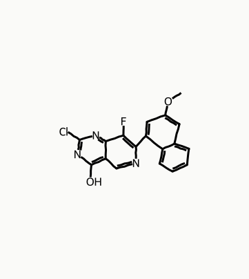 COc1cc(-c2ncc3c(O)nc(Cl)nc3c2F)c2ccccc2c1